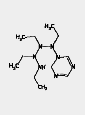 CCNN(CC)N(CC)N(CC)N1C=NC=NC1